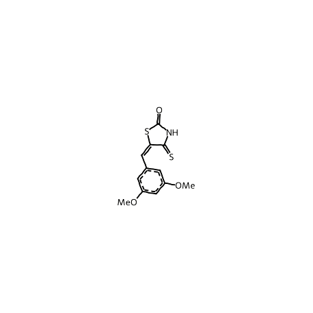 COc1cc(C=C2SC(=O)NC2=S)cc(OC)c1